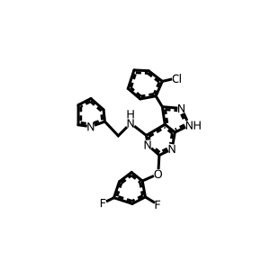 Fc1ccc(Oc2nc(NCc3ccccn3)c3c(-c4ccccc4Cl)n[nH]c3n2)c(F)c1